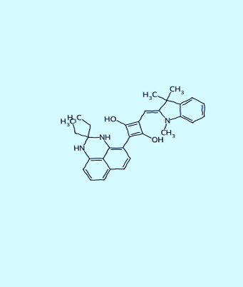 CCC1(CC)Nc2cccc3ccc(C4=C(O)C(C=C5N(C)c6ccccc6C5(C)C)=C4O)c(c23)N1